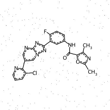 Cc1nc(C)c(C(=O)Nc2ccc(F)c(-c3nc4ncc(-c5ncccc5Cl)cn4n3)c2)o1